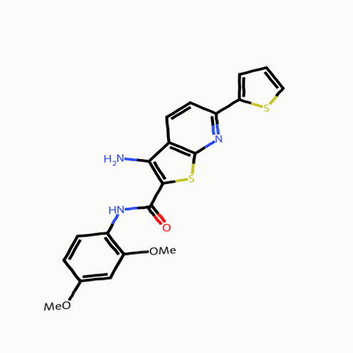 COc1ccc(NC(=O)c2sc3nc(-c4cccs4)ccc3c2N)c(OC)c1